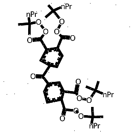 CCCC(C)(C)OOC(=O)c1ccc(C(=O)c2ccc(C(=O)OOC(C)(C)CCC)c(C(=O)OOC(C)(C)CCC)c2)cc1C(=O)OOC(C)(C)CCC